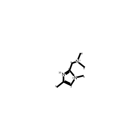 Cc1cn(C)c(CN(C)C)n1